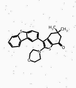 CC1(C)CC(=O)c2sc(N3CCOCC3)c(-c3ccc4sc5ccccc5c4c3)c2C1